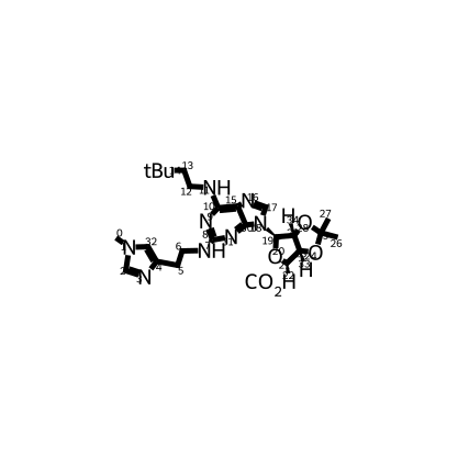 Cn1cnc(CCNc2nc(NCCC(C)(C)C)c3ncn([C@@H]4O[C@H](C(=O)O)[C@H]5OC(C)(C)O[C@H]54)c3n2)c1